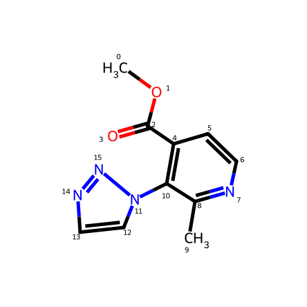 COC(=O)c1ccnc(C)c1-n1ccnn1